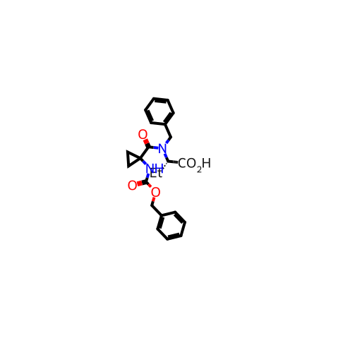 CC[C@@H](C(=O)O)N(Cc1ccccc1)C(=O)C1(NC(=O)OCc2ccccc2)CC1